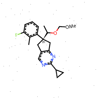 COCOC(C)[C@]1(c2cccc(F)c2C)Cc2cnc(C3CC3)nc2C1